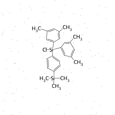 Cc1cc(C)cc([Si](Cl)(c2ccc([Si](C)(C)C)cc2)c2cc(C)cc(C)c2)c1